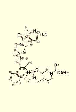 COC(=O)N1CCC(CN2C[C@@H](c3ccccc3)N(C3CCN(C4(C)CCN(C(=O)c5c(C)cc(C#N)nc5C)CC4)CC3)C2=O)CC1